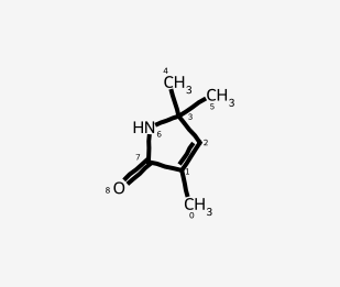 CC1=CC(C)(C)NC1=O